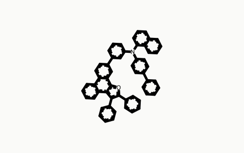 c1ccc(-c2ccc(N(c3cccc(-c4ccc5c6ccccc6c6c(-c7ccccc7)c(-c7ccccc7)oc6c5c4)c3)c3cccc4ccccc34)cc2)cc1